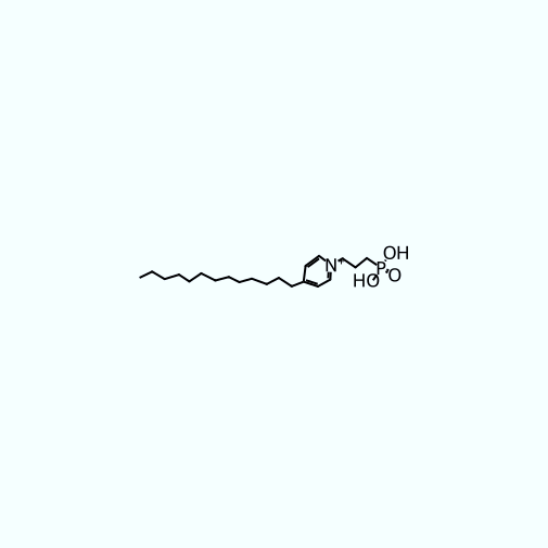 CCCCCCCCCCCCCc1cc[n+](CCCP(=O)(O)O)cc1